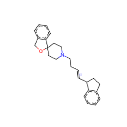 C(=C\C1CCc2ccccc21)/CCN1CCC2(CC1)OCc1ccccc12